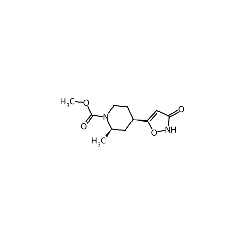 COC(=O)N1CC[C@@H](c2cc(=O)[nH]o2)C[C@H]1C